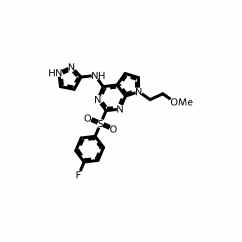 COCCn1ccc2c(Nc3cc[nH]n3)nc(S(=O)(=O)c3ccc(F)cc3)nc21